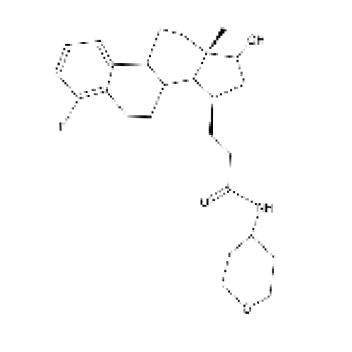 C[C@]12CCC3c4cccc(F)c4CCC3C1[C@H](CCC(=O)NC1CCOCC1)CC2O